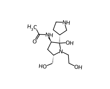 CC(=O)N[C@@H]1C[C@@H](CO)N(CCO)C1(O)[C@@H]1CCNC1